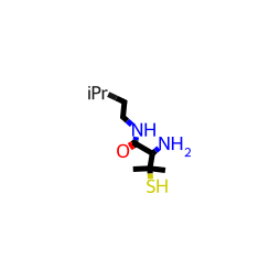 CC(C)CCNC(=O)C(N)C(C)(C)S